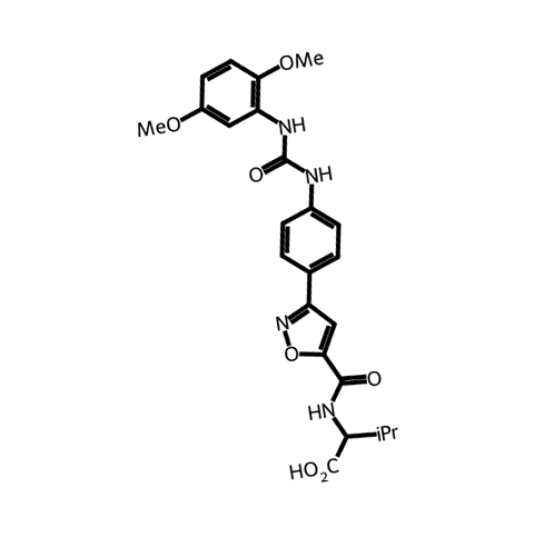 COc1ccc(OC)c(NC(=O)Nc2ccc(-c3cc(C(=O)NC(C(=O)O)C(C)C)on3)cc2)c1